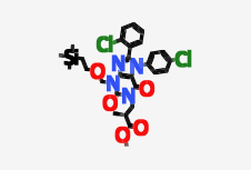 COC(=O)[C@@H](C)Cn1c(=O)c2c(nc(-c3ccccc3Cl)n2-c2ccc(Cl)cc2)n(COCC[Si](C)(C)C)c1=O